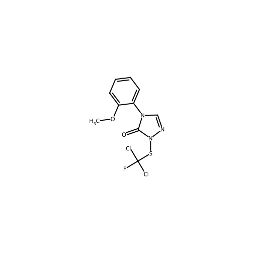 COc1ccccc1-n1cnn(SC(F)(Cl)Cl)c1=O